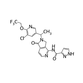 CC(c1cnc(OCC(F)(F)F)c(Cl)c1)N1Cc2c(ccnc2NC(=O)c2cc[nH]n2)C1=O